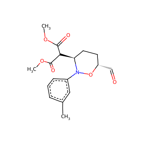 COC(=O)C(C(=O)OC)[C@H]1CC[C@H](C=O)ON1c1cccc(C)c1